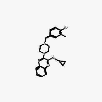 Cc1cc(CN2CCN(c3nc4ccccc4nc3NC3CC3)CC2)ccc1Br